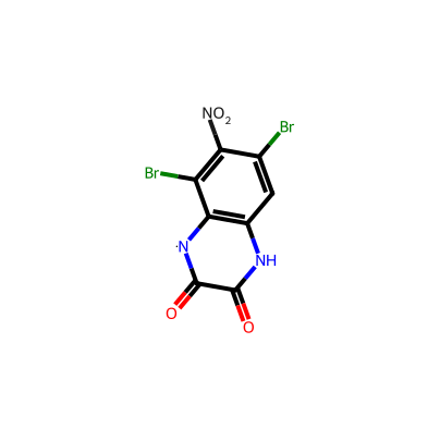 O=C1[N]c2c(cc(Br)c([N+](=O)[O-])c2Br)NC1=O